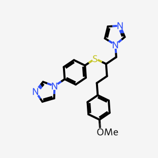 COc1ccc(CCC(Cn2ccnc2)Sc2ccc(-n3ccnc3)cc2)cc1